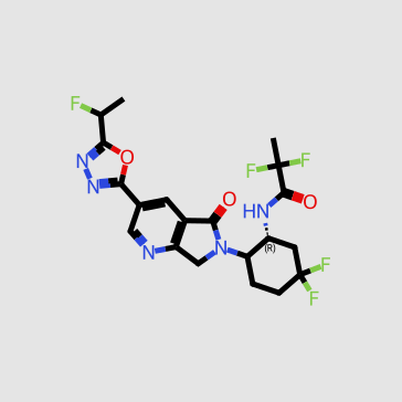 CC(F)c1nnc(-c2cnc3c(c2)C(=O)N(C2CCC(F)(F)C[C@H]2NC(=O)C(C)(F)F)C3)o1